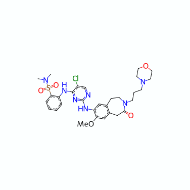 COc1cc2c(cc1Nc1ncc(Cl)c(Nc3ccccc3S(=O)(=O)N(C)C)n1)CCN(CCCN1CCOCC1)C(=O)C2